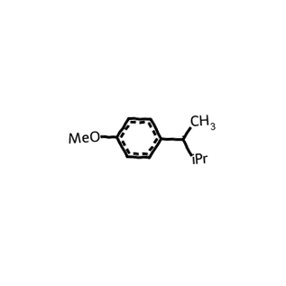 COc1ccc([C](C)C(C)C)cc1